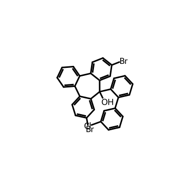 OC1(c2ccccc2-c2cccc(Cl)c2)c2cc(Br)ccc2-c2ccccc2-c2ccc(Br)cc21